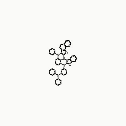 c1ccc(N(c2ccccc2)c2cccc(N3c4cccc5c4B(c4oc6c(ccc7ccccc76)c4N5c4ccccc4)c4c3oc3ccccc43)c2)cc1